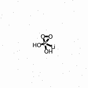 [Li][P]1(O)(O)OO1